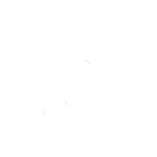 CCC(=O)Nc1ccc(N2CC(C)OC2=O)c(Cl)c1